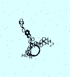 CC(C)(C)OC(=O)N[C@H]1CCCCCC=C[C@@H]2C[C@@]2(C(=O)O)NC(=O)[C@@H]2C[C@@H](OC(=O)N3Cc4ccc(OCCN5CCOCC5)cc4C3)CN2C1=O